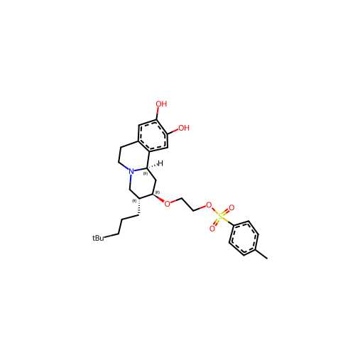 Cc1ccc(S(=O)(=O)OCCO[C@@H]2C[C@@H]3c4cc(O)c(O)cc4CCN3C[C@H]2CCCC(C)(C)C)cc1